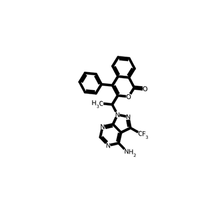 CC(c1oc(=O)c2ccccc2c1-c1ccccc1)n1nc(C(F)(F)F)c2c(N)ncnc21